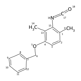 Cc1ccc(OCc2ccccc2)c(C)c1N=C=O